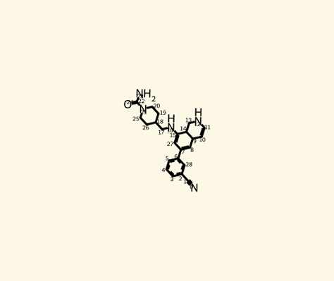 N#Cc1cccc(C2=CC3C=CNCC3C(NCC3CCN(C(N)=O)CC3)=C2)c1